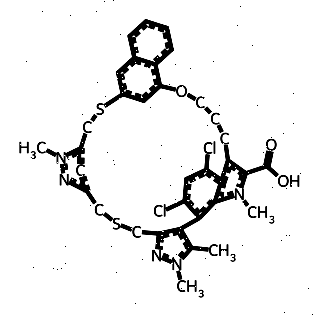 Cc1c2c(nn1C)CSCc1cc(n(C)n1)CSc1cc(c3ccccc3c1)OCCCc1c(C(=O)O)n(C)c3c-2c(Cl)cc(Cl)c13